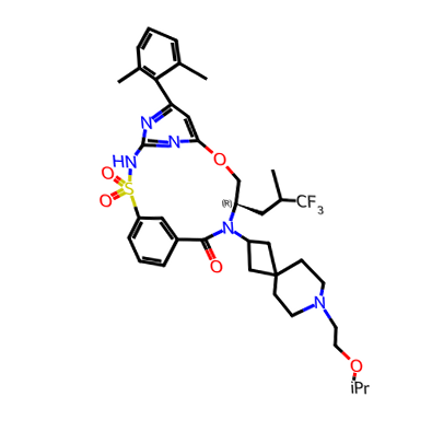 Cc1cccc(C)c1-c1cc2nc(n1)NS(=O)(=O)c1cccc(c1)C(=O)N(C1CC3(CCN(CCOC(C)C)CC3)C1)[C@H](CC(C)C(F)(F)F)CO2